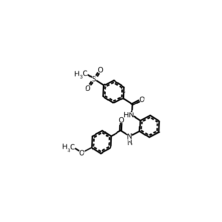 COc1ccc(C(=O)Nc2ccccc2NC(=O)c2ccc(S(C)(=O)=O)cc2)cc1